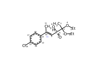 CCOC(C)(OCC)P(=O)(O)/C=C(\C)c1ccc(Cl)cc1